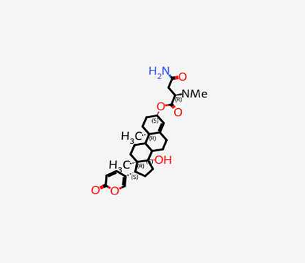 CN[C@H](CC(N)=O)C(=O)O[C@@H]1C=C2CCC3C(CC[C@]4(C)[C@@H](c5ccc(=O)oc5)CC[C@]34O)[C@@]2(C)CC1